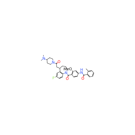 COc1cc(NC(=O)c2ccccc2C)ccc1C(=O)N1CCCC(CC(=O)N2CCC(N(C)C)CC2)c2cc(F)ccc21